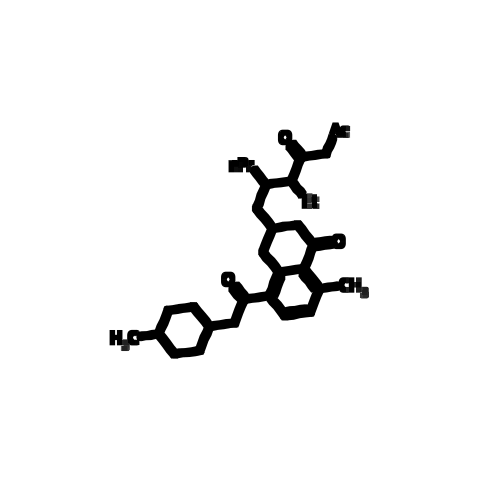 CCCC(CC1CC(=O)c2c(C)ccc(C(=O)CC3CCC(C)CC3)c2C1)C(CC)C(=O)CC(C)=O